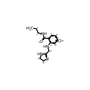 CCCNC(=O)c1ccccc1NCC1=NCCN1.Cl